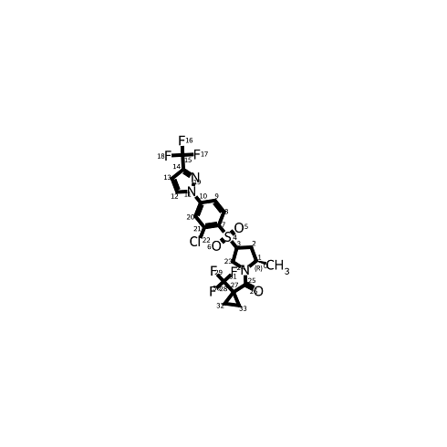 C[C@@H]1CC(S(=O)(=O)c2ccc(-n3ccc(C(F)(F)F)n3)cc2Cl)CN1C(=O)C1(C(F)(F)F)CC1